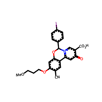 COCCCOc1cc2c(cc1C#N)-c1cc(=O)c(C(=O)O)cn1C(c1ccc(I)cc1)O2